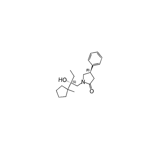 CC[C@@](O)(CN1C[C@@H](c2ccccc2)CC1=O)C1(C)CCCC1